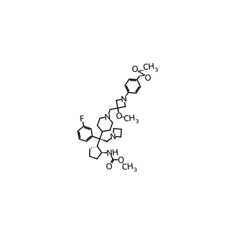 COC(=O)N[C@H]1CCC[C@@H]1[C@](CN1CCC1)(c1cccc(F)c1)C1CCN(CC2(OC)CN(c3ccc(S(C)(=O)=O)cc3)C2)CC1